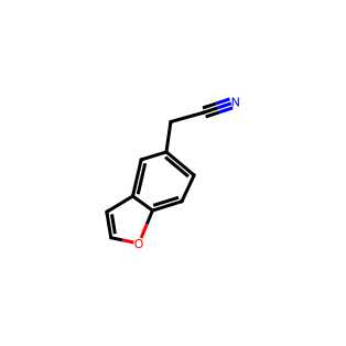 N#CCc1ccc2occc2c1